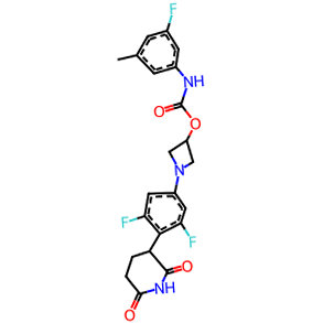 Cc1cc(F)cc(NC(=O)OC2CN(c3cc(F)c(C4CCC(=O)NC4=O)c(F)c3)C2)c1